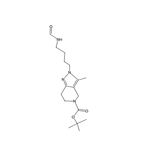 Cc1c2c(nn1CCCCNC=O)CCN(C(=O)OC(C)(C)C)C2